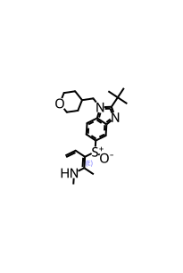 C=C/C(=C(/C)NC)[S+]([O-])c1ccc2c(c1)nc(C(C)(C)C)n2CC1CCOCC1